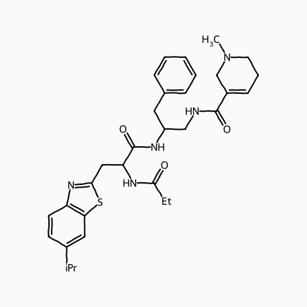 CCC(=O)NC(Cc1nc2ccc(C(C)C)cc2s1)C(=O)NC(CNC(=O)C1=CCCN(C)C1)Cc1ccccc1